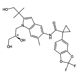 Cc1cc2c(cc1NC(=O)C1(c3ccc4c(c3)OC(F)(F)O4)CC1)cc(C(C)(C)CO)n2C[C@@H](O)CO